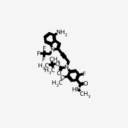 CNC(=O)c1cc(OC)c(N(CC#Cc2cc3c(N)cccc3n2CC(F)(F)F)C(=O)OC(C)(C)C)cc1F